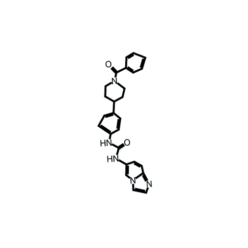 O=C(Nc1ccc(C2CCN(C(=O)c3ccccc3)CC2)cc1)Nc1ccc2nccn2c1